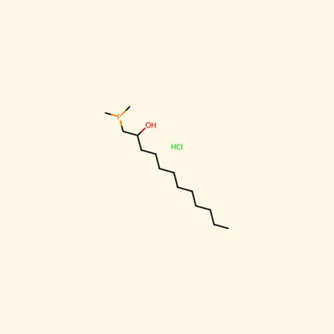 CCCCCCCCCCC(O)CP(C)C.Cl